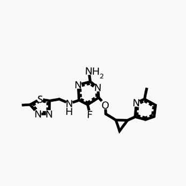 Cc1cccc(C2CC2COc2nc(N)nc(NCc3nnc(C)s3)c2F)n1